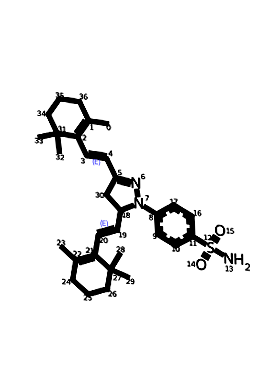 CC1=C(/C=C/C2=NN(c3ccc(S(N)(=O)=O)cc3)C(/C=C/C3=C(C)CCCC3(C)C)C2)C(C)(C)CCC1